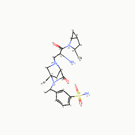 CC(c1cccc(S(N)(=O)=O)c1)N1C(=O)C2C[C@H]1CN2CC(N)C(=O)N1C(C#N)CC2CC21